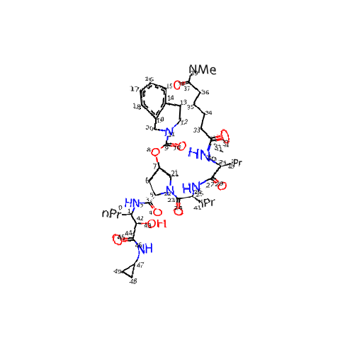 CCCC(NC(=O)[C@@H]1CC(OC(=O)N2CCc3ccccc3C2)CN1C(=O)[C@@H](NC(=O)[C@@H](NC(=O)CCCCC(=O)NC)C(C)C)C(C)C)C(O)C(=O)NC1CC1